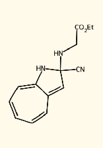 CCOC(=O)CNC1(C#N)C=C2C=CC=CC=C2N1